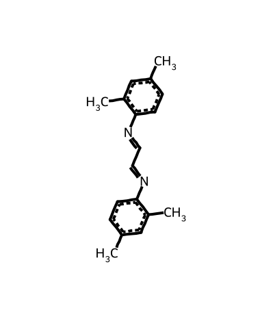 Cc1ccc(N=CC=Nc2ccc(C)cc2C)c(C)c1